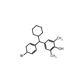 Cc1cc(C(C2=CCC(Br)C=C2)C2CCCCC2)cc(C)c1O